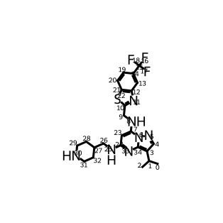 CC(C)c1cnn2c(NCc3nc4cc(C(F)(F)F)ccc4s3)cc(NCC3CCNCC3)nc12